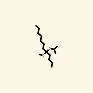 [CH2]CCCC(CCCCCCC)(OC)OC(C)C